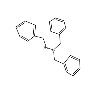 c1ccc(CNN(Cc2ccccc2)Cc2ccccc2)cc1